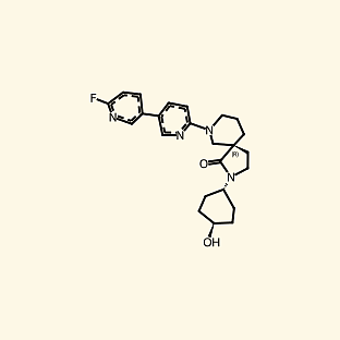 O=C1N([C@H]2CC[C@H](O)CC2)CC[C@@]12CCCN(c1ccc(-c3ccc(F)nc3)cn1)C2